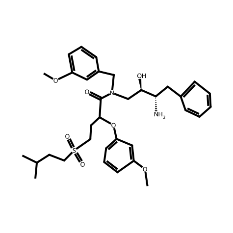 COc1cccc(CN(C[C@@H](O)[C@@H](N)Cc2ccccc2)C(=O)C(CCS(=O)(=O)CCC(C)C)Oc2cccc(OC)c2)c1